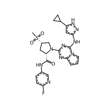 CS(=O)(=O)[C@H]1C[C@@H](C(=O)Nc2ccc(F)nc2)N(c2nc(Nc3cc(C4CC4)[nH]n3)n3cccc3n2)C1